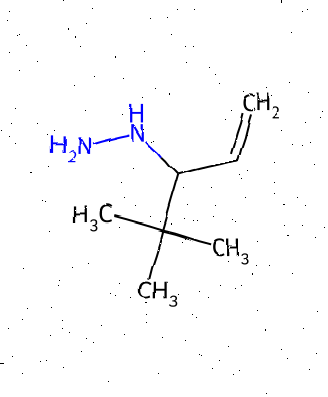 C=CC(NN)C(C)(C)C